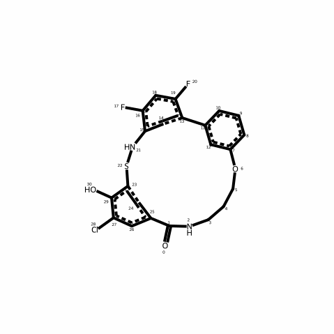 O=C1NCCCOc2cccc(c2)-c2cc(c(F)cc2F)NSc2cc1cc(Cl)c2O